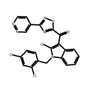 O=C(c1nc(-c2ccnnc2)no1)c1c(Cl)n(Cc2ccc(Cl)cc2Cl)c2ccccc12